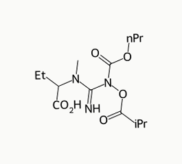 CCCOC(=O)N(OC(=O)C(C)C)C(=N)N(C)C(CC)C(=O)O